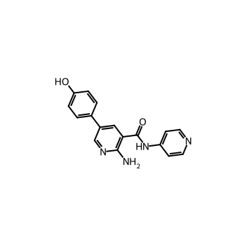 Nc1ncc(-c2ccc(O)cc2)cc1C(=O)Nc1ccncc1